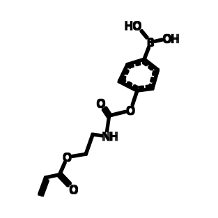 C=CC(=O)OCCNC(=O)Oc1ccc(B(O)O)cc1